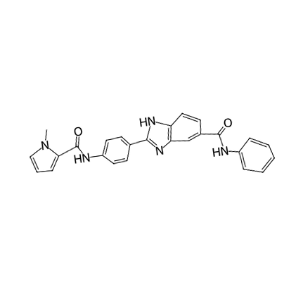 Cn1cccc1C(=O)Nc1ccc(-c2nc3cc(C(=O)Nc4ccccc4)ccc3[nH]2)cc1